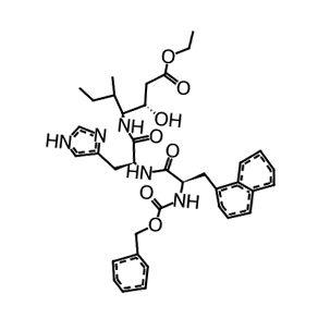 CCOC(=O)C[C@H](O)[C@@H](NC(=O)[C@H](Cc1c[nH]cn1)NC(=O)[C@@H](Cc1cccc2ccccc12)NC(=O)OCc1ccccc1)C(C)CC